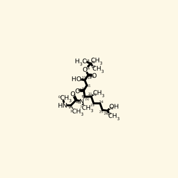 CN[C@@H](C)C(=O)N(C)[C@H](C(=O)CC(O)C(=O)OC(C)(C)C)[C@@H](C)CCCC(C)O